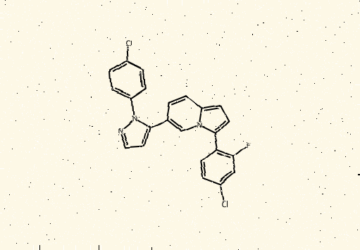 Fc1cc(Cl)ccc1-c1ccc2ccc(-c3ccnn3-c3ccc(Cl)cc3)cn12